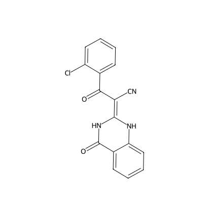 N#CC(C(=O)c1ccccc1Cl)=C1NC(=O)c2ccccc2N1